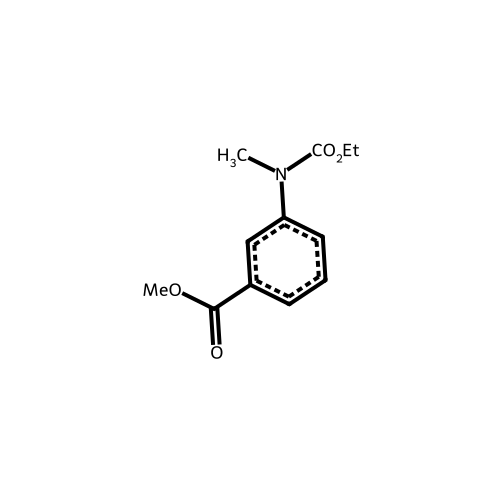 CCOC(=O)N(C)c1cccc(C(=O)OC)c1